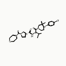 CC(C)[C@@H](NC(=O)[C@@H]1CCN(C(=O)N2CCOCC2)C1)C(=O)N1CC[C@H](c2ccc(Cl)cc2)C(C)(C)C1